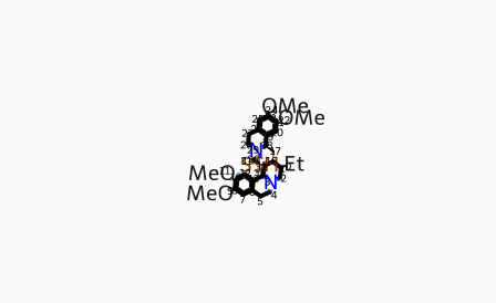 CC[C@H]1CN2CCc3cc(OC)c(OC)cc3C2C[C@@H]1C[C@@H]1c2cc(OC)c(OC)cc2CCN1C(=S)S